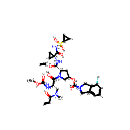 C=CC(=O)N(CC)C[C@H](NC(=O)OC(C)(C)C)C(=O)N1CC(OC(=O)N2Cc3cccc(F)c3C2)C[C@H]1C(=O)N[C@]1(C(=O)NS(=O)(=O)C2CC2)C[C@H]1C=C